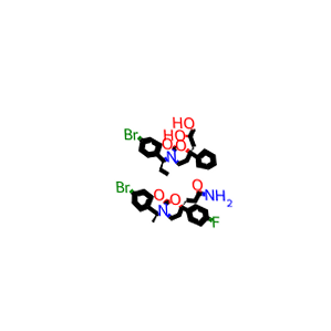 CC[C@@H](c1ccc(Br)cc1)N1CC[C@](C[C@@H](O)CO)(c2ccccc2)OC1=O.C[C@@H](c1ccc(Br)cc1)N1CC[C@](CCC(N)=O)(c2ccc(F)cc2)OC1=O